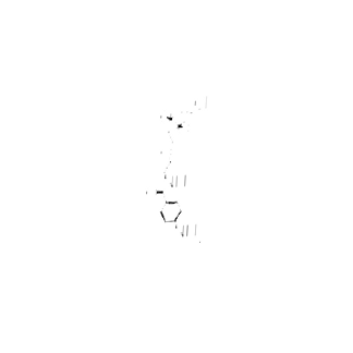 Nc1ccc(C(=O)NCCOCCS(=O)(=O)CCCl)cc1